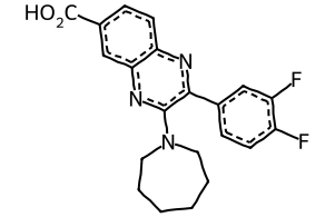 O=C(O)c1ccc2nc(-c3ccc(F)c(F)c3)c(N3CCCCCC3)nc2c1